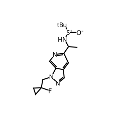 CC(N[S@+]([O-])C(C)(C)C)c1cc2cnn(CC3(F)CC3)c2cn1